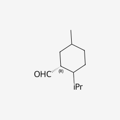 CC1CCC(C(C)C)[C@H](C=O)C1